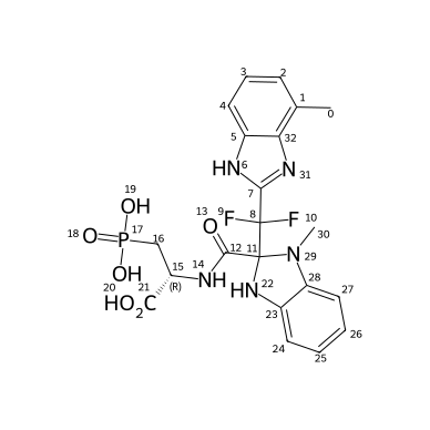 Cc1cccc2[nH]c(C(F)(F)C3(C(=O)N[C@@H](CP(=O)(O)O)C(=O)O)Nc4ccccc4N3C)nc12